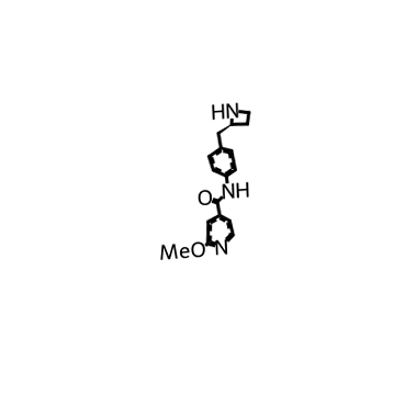 COc1cc(C(=O)Nc2ccc(C[C@@H]3CCN3)cc2)ccn1